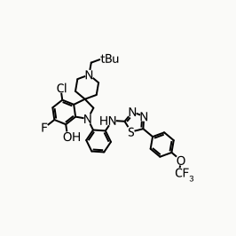 CC(C)(C)CN1CCC2(CC1)CN(c1ccccc1Nc1nnc(-c3ccc(OC(F)(F)F)cc3)s1)c1c(O)c(F)cc(Cl)c12